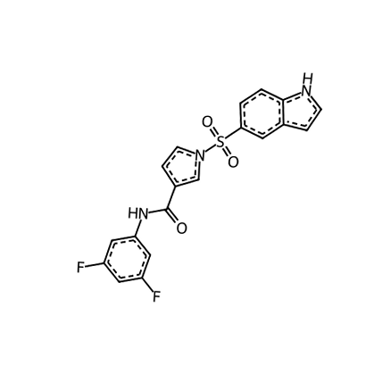 O=C(Nc1cc(F)cc(F)c1)c1ccn(S(=O)(=O)c2ccc3[nH]ccc3c2)c1